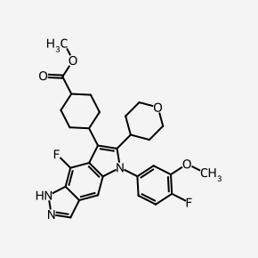 COC(=O)C1CCC(c2c(C3CCOCC3)n(-c3ccc(F)c(OC)c3)c3cc4cn[nH]c4c(F)c23)CC1